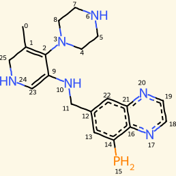 CC1=C(N2CCNCC2)C(NCc2cc(P)c3nccnc3c2)=CNC1